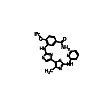 Cc1nc(Nc2ccccn2)sc1-c1csc(Nc2cc(C(N)=O)ccc2OC(C)C)n1